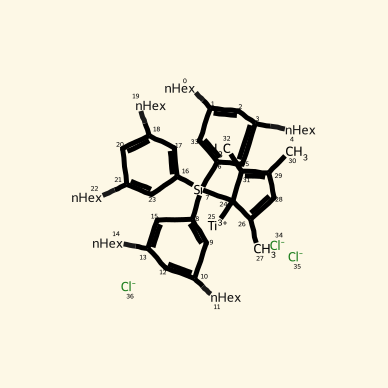 CCCCCCc1cc(CCCCCC)cc([Si](c2cc(CCCCCC)cc(CCCCCC)c2)(c2cc(CCCCCC)cc(CCCCCC)c2)[C]2([Ti+3])C(C)=CC(C)=C2C)c1.[Cl-].[Cl-].[Cl-]